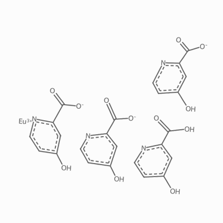 O=C(O)c1cc(O)ccn1.O=C([O-])c1cc(O)ccn1.O=C([O-])c1cc(O)ccn1.O=C([O-])c1cc(O)ccn1.[Eu+3]